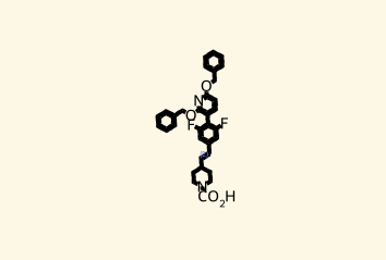 O=C(O)N1CCC(/C=C/c2cc(F)c(-c3ccc(OCc4ccccc4)nc3OCc3ccccc3)c(F)c2)CC1